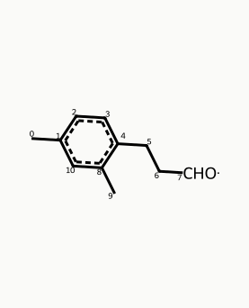 Cc1ccc(CC[C]=O)c(C)c1